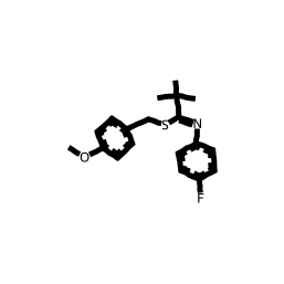 COc1ccc(CS/C(=N\c2ccc(F)cc2)C(C)(C)C)cc1